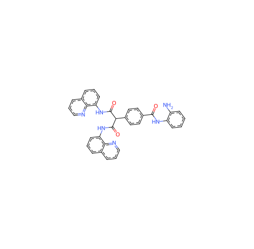 Nc1ccccc1NC(=O)c1ccc(C(C(=O)Nc2cccc3cccnc23)C(=O)Nc2cccc3cccnc23)cc1